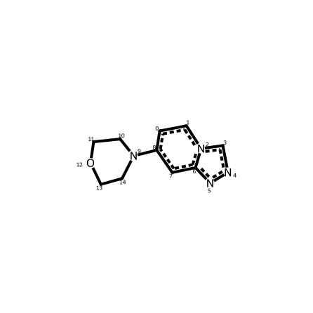 c1cn2cnnc2cc1N1CCOCC1